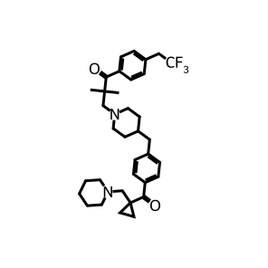 CC(C)(CN1CCC(Cc2ccc(C(=O)C3(CN4CCCCC4)CC3)cc2)CC1)C(=O)c1ccc(CC(F)(F)F)cc1